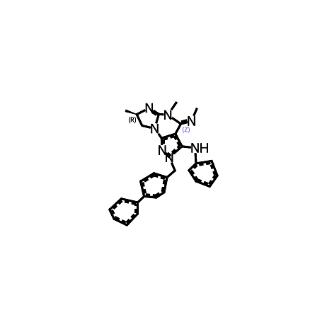 C/N=C1/c2c(nn(Cc3ccc(-c4ccccc4)cc3)c2Nc2ccccc2)N2C[C@@H](C)N=C2N1C